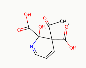 CC(=O)C1(C(=O)O)C=CC=NC1(O)C(=O)O